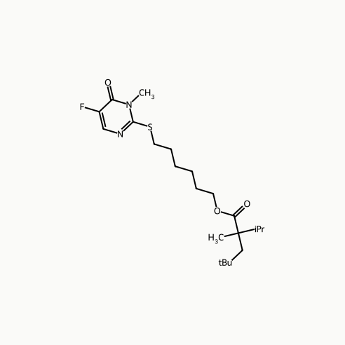 CC(C)C(C)(CC(C)(C)C)C(=O)OCCCCCCSc1ncc(F)c(=O)n1C